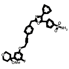 COC1(c2cc(F)cc(OCC#Cc3ccc(Cc4nc(-c5ccccc5)c(-c5ccc(S(N)(=O)=O)cc5)o4)cc3)c2)CCOCC1